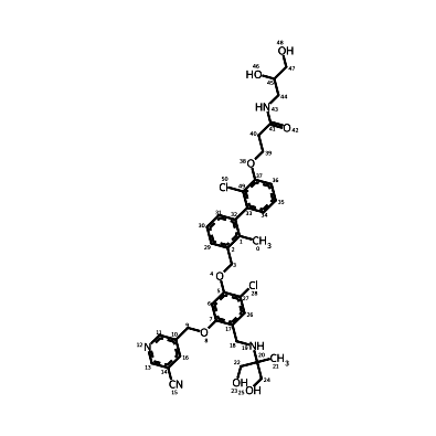 Cc1c(COc2cc(OCc3cncc(C#N)c3)c(CNC(C)(CO)CO)cc2Cl)cccc1-c1cccc(OCCC(=O)NCC(O)CO)c1Cl